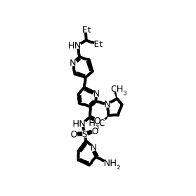 CCC(CC)Nc1ccc(-c2ccc(C(=O)NS(=O)(=O)c3cccc(N)n3)c(N3[C@H](C)CC[C@@H]3C)n2)cn1